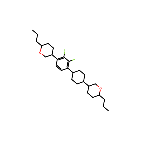 CCCC1CCC(c2ccc(C3CCC(C4CCC(CCC)OC4)CC3)c(F)c2F)CO1